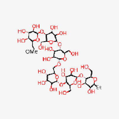 CCC1OC(CO)[C@@H](O[C@H]2OC(CO)[C@@H](O[C@H]3OC(CO[C@H]4OC(CO)[C@@H](O[C@H]5OC(CO)[C@@H](O[C@H]6OC(COC)[C@@H](O)[C@H](O)C6O)[C@H](O)C5O)[C@H](O)C4O)[C@@H](O)[C@H](O)C3O)[C@H](O)C2O)[C@H](O)C1O